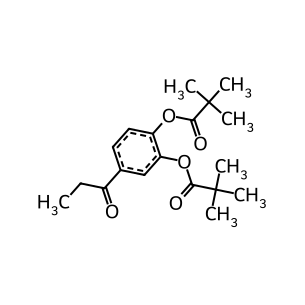 CCC(=O)c1ccc(OC(=O)C(C)(C)C)c(OC(=O)C(C)(C)C)c1